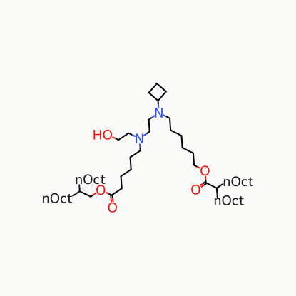 CCCCCCCCC(CCCCCCCC)COC(=O)CCCCCN(CCO)CCN(CCCCCCOC(=O)C(CCCCCCCC)CCCCCCCC)C1CCC1